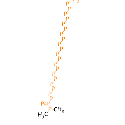 CP(C)P(#P)P=PP=PP=PP=PP=PP=PP=PP=PP=PP=PP